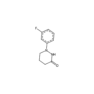 O=C1CCCN(c2cccc(F)c2)N1